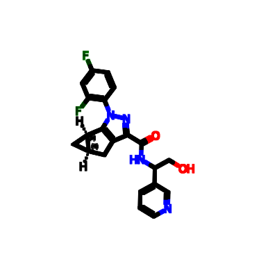 O=C(NC(CO)c1cccnc1)c1nn(-c2ccc(F)cc2F)c2c1C[C@H]1C[C@@H]21